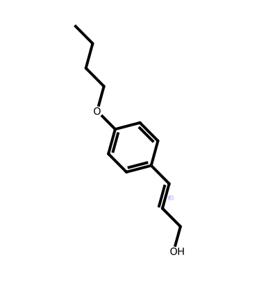 CCCCOc1ccc(/C=C/CO)cc1